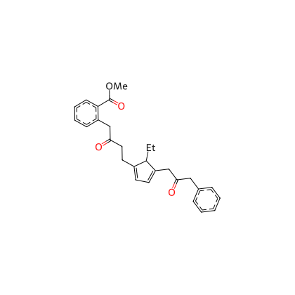 CCC1C(CCC(=O)Cc2ccccc2C(=O)OC)=CC=C1CC(=O)Cc1ccccc1